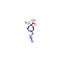 CC1(C(=O)O)C=CN=C(CN=[N+]=[N-])C=C1